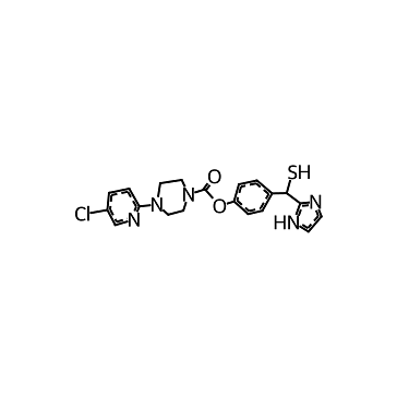 O=C(Oc1ccc(C(S)c2ncc[nH]2)cc1)N1CCN(c2ccc(Cl)cn2)CC1